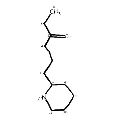 CCC(=O)CCCC1CCCC[N]1